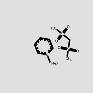 CCCCCC[n+]1ccccc1.O=S(=O)(CS(=O)(=O)C(F)(F)F)C(F)(F)F